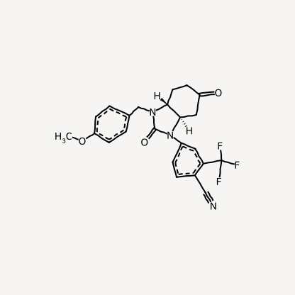 COc1ccc(CN2C(=O)N(c3ccc(C#N)c(C(F)(F)F)c3)[C@@H]3CC(=O)CC[C@H]32)cc1